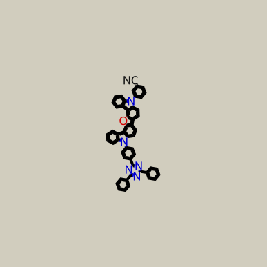 N#Cc1cccc(-n2c3ccccc3c3c4oc5c(ccc6c5c5ccccc5n6-c5ccc(-c6nc(-c7ccccc7)nc(-c7ccccc7)n6)cc5)c4ccc32)c1